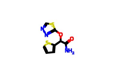 NC(=O)C(Oc1nncs1)c1cccs1